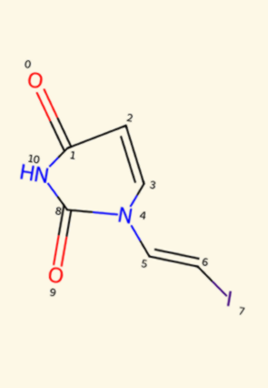 O=c1ccn(C=CI)c(=O)[nH]1